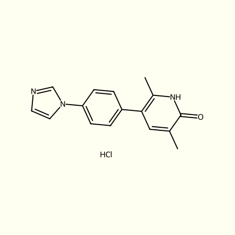 Cc1[nH]c(=O)c(C)cc1-c1ccc(-n2ccnc2)cc1.Cl